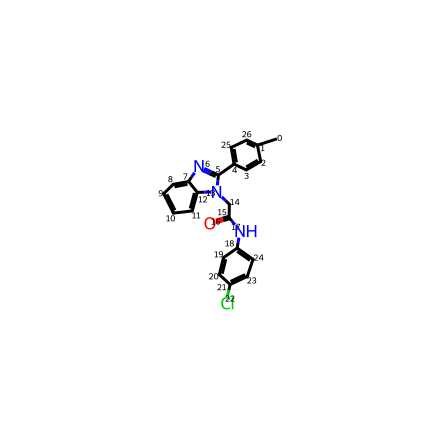 Cc1ccc(-c2nc3ccccc3n2CC(=O)Nc2ccc(Cl)cc2)cc1